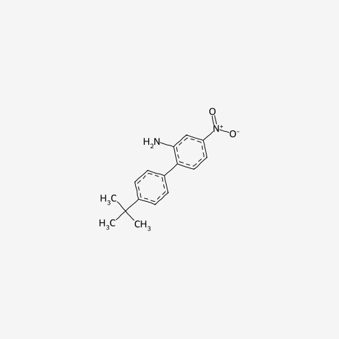 CC(C)(C)c1ccc(-c2ccc([N+](=O)[O-])cc2N)cc1